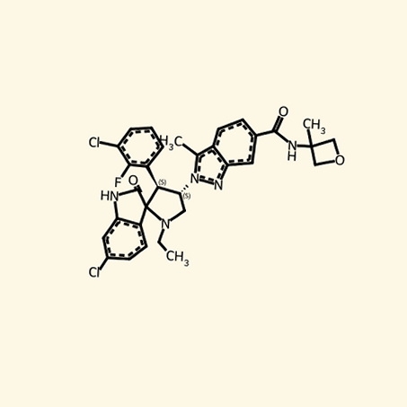 CCN1C[C@@H](n2nc3cc(C(=O)NC4(C)COC4)ccc3c2C)[C@H](c2cccc(Cl)c2F)C12C(=O)Nc1cc(Cl)ccc12